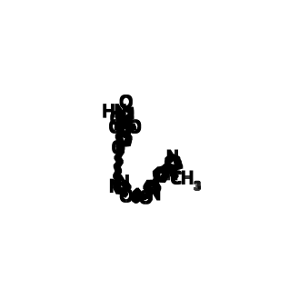 Cn1c2ccncc2c2ccc(-c3ccc(OC4CC(Oc5cnc(CCCCCCOc6ccc7c(c6)C(=O)N(C6CCC(=O)NC6=O)C7=O)nc5)C4)nc3)cc21